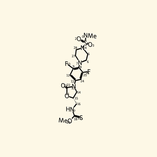 CNS(=O)(=O)N1CCN(c2c(F)cc(N3C[C@H](CNC(=S)OC)OC3=O)cc2F)CC1